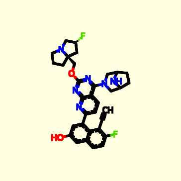 C#Cc1c(F)ccc2cc(O)cc(-c3ccc4c(N5CC6CCC(C5)N6)nc(OC[C@@]56CCCN5C[C@H](F)C6)nc4n3)c12